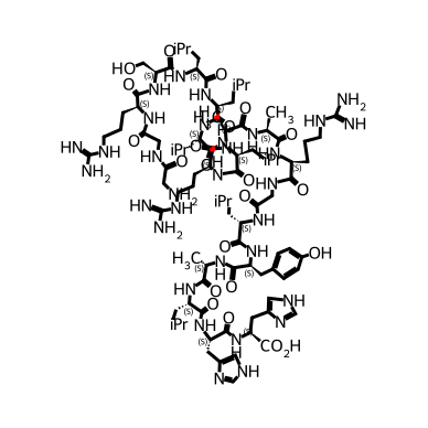 CC(C)C[C@H](NC(=O)CNC(=O)[C@H](CCCNC(=N)N)NC(=O)[C@H](C)NC(=O)[C@H](C)NC(=O)[C@H](CCCNC(=N)N)NC(=O)[C@H](CC(C)C)NC(=O)[C@@H](NC(=O)[C@H](CC(C)C)NC(=O)[C@H](CC(C)C)NC(=O)[C@H](CO)NC(=O)[C@H](CCCNC(=N)N)NC(=O)CNC(=O)CN)C(C)C)C(=O)N[C@@H](Cc1ccc(O)cc1)C(=O)N[C@@H](C)C(=O)N[C@@H](CC(C)C)C(=O)N[C@@H](Cc1c[nH]cn1)C(=O)N[C@@H](Cc1c[nH]cn1)C(=O)O